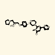 Cn1c(N2CCO[C@@H](c3ccc(OC[C@@H](O)CN4CCCC4)cc3)C2)nc(-c2ccncn2)cc1=O